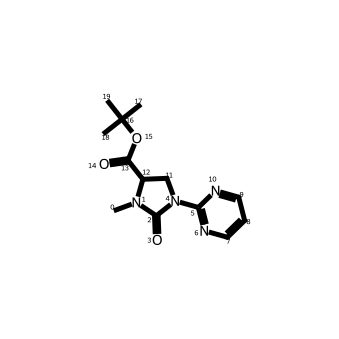 CN1C(=O)N(c2ncccn2)CC1C(=O)OC(C)(C)C